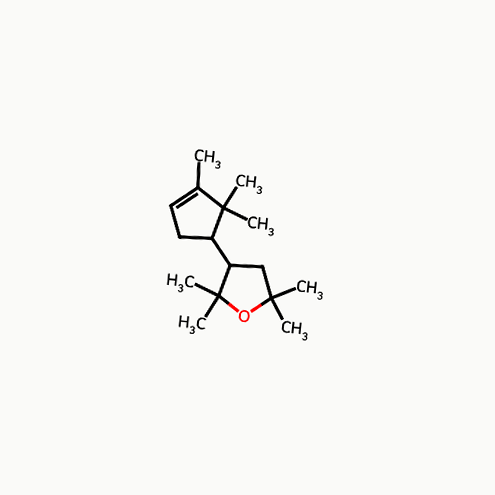 CC1=CCC(C2CC(C)(C)OC2(C)C)C1(C)C